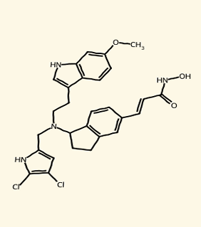 COc1ccc2c(CCN(Cc3cc(Cl)c(Cl)[nH]3)C3CCc4cc(C=CC(=O)NO)ccc43)c[nH]c2c1